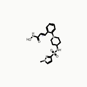 Cn1ccc(S(=O)(=O)NC2CCN(c3ccccc3/C=C/C(=O)NO)CC2)n1